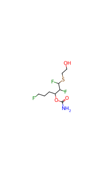 NC(=O)OC(CCCF)C(F)C(F)SCCO